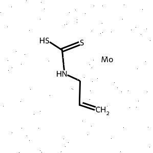 C=CCNC(=S)S.[Mo]